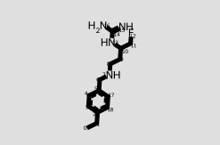 CCc1ccc(CNCCC(CF)NC(=N)N)cc1